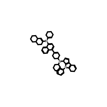 c1ccc(-n2c3c(c4c2C(N(C2C=CCCC2)C2CC=C(c5ccc(N(C6=CCCCC6)C6=CC7CCCCC7CC6)c6ccccc56)CC2)C=C4)C=CCC3)cc#1